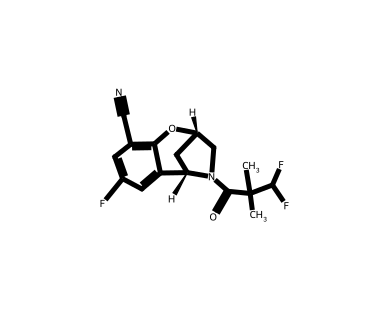 CC(C)(C(=O)N1C[C@@H]2C[C@H]1c1cc(F)cc(C#N)c1O2)C(F)F